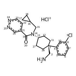 Cl.NC[C@]1(c2cccc(Cl)c2)CC[C@@H](N(CC2CC2)C(=O)c2ccnnc2)CC1